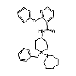 O=C(NC1CCC(Cc2ccccc2)(N2CCCCCC2)CC1)c1cccnc1Oc1ccccc1